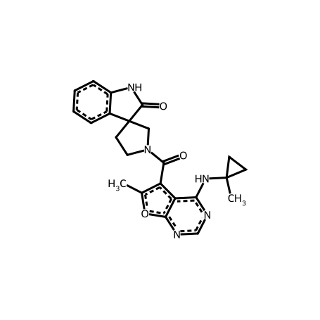 Cc1oc2ncnc(NC3(C)CC3)c2c1C(=O)N1CCC2(C1)C(=O)Nc1ccccc12